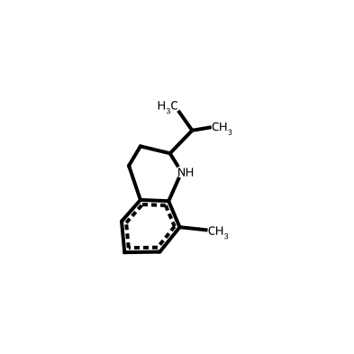 Cc1cccc2c1NC(C(C)C)CC2